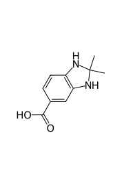 CC1(C)Nc2ccc(C(=O)O)cc2N1